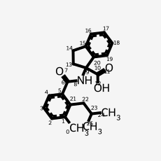 Cc1cccc(C(=O)NC2(C(=O)O)CCc3ccccc32)c1CC(C)C